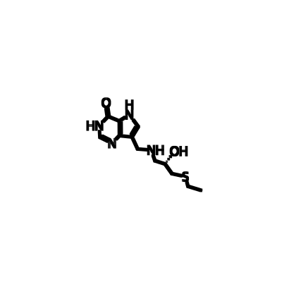 CCSC[C@@H](O)CNCc1c[nH]c2c(=O)[nH]cnc12